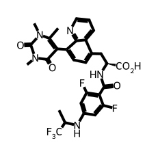 Cc1c(-c2ccc(C[C@H](NC(=O)c3c(F)cc(NC(C)C(F)(F)F)cc3F)C(=O)O)c3cccnc23)c(=O)n(C)c(=O)n1C